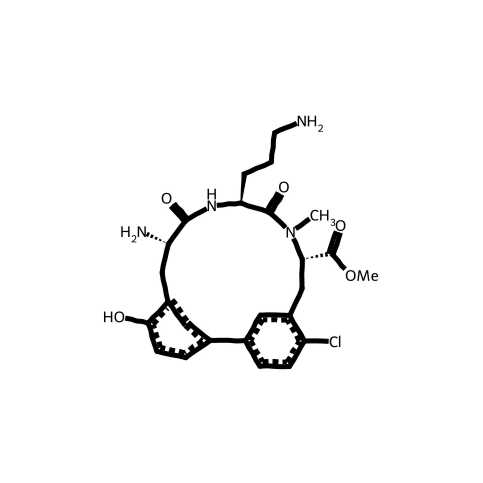 COC(=O)[C@@H]1Cc2cc(ccc2Cl)-c2ccc(O)c(c2)C[C@H](N)C(=O)N[C@@H](CCCN)C(=O)N1C